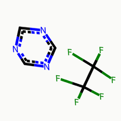 FC(F)(F)C(F)(F)F.c1ncncn1